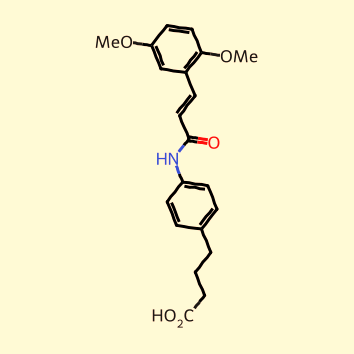 COc1ccc(OC)c(C=CC(=O)Nc2ccc(CCCC(=O)O)cc2)c1